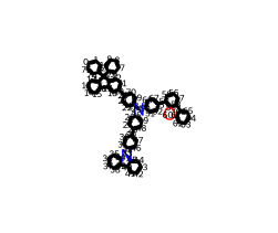 c1ccc(C2(c3ccccc3)c3ccccc3-c3cc(-c4ccc(N(c5ccc(-c6ccc(-n7c8ccccc8c8ccccc87)cc6)cc5)c5ccc(-c6cccc7c6oc6ccccc67)cc5)cc4)ccc32)cc1